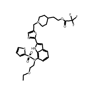 CCOCCN(c1cccc2cc(-c3ncc(CN4CCC(CCOC(=O)C(F)(F)F)CC4)s3)[nH]c12)S(=O)(=O)c1cccs1